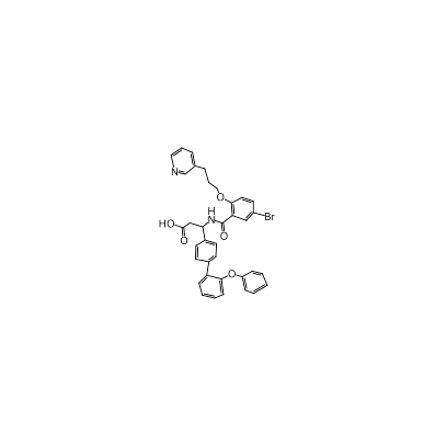 O=C(O)CC(NC(=O)c1cc(Br)ccc1OCCCc1cccnc1)c1ccc(-c2ccccc2Oc2ccccc2)cc1